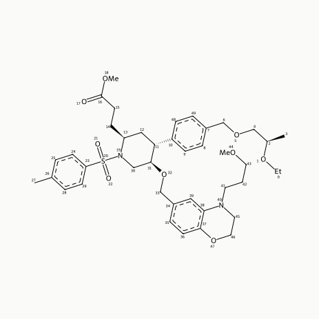 CCO[C@H](C)COCc1ccc([C@H]2C[C@H](CCC(=O)OC)N(S(=O)(=O)c3ccc(C)cc3)C[C@@H]2OCc2ccc3c(c2)N(CCCOC)CCO3)cc1